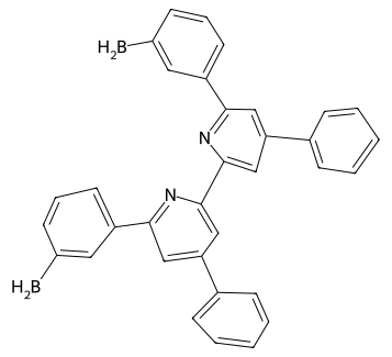 Bc1cccc(-c2cc(-c3ccccc3)cc(-c3cc(-c4ccccc4)cc(-c4cccc(B)c4)n3)n2)c1